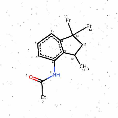 CCC(=O)Nc1cccc2c1C(C)CC2(CC)CC